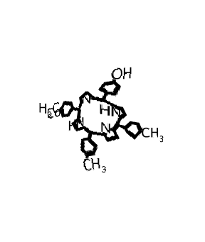 Cc1ccc(-c2c3nc(c(-c4ccc(C)cc4)c4ccc([nH]4)c(-c4ccc(O)cc4)c4nc(c(-c5ccc(C)cc5)c5ccc2[nH]5)C=C4)C=C3)cc1.[Co]